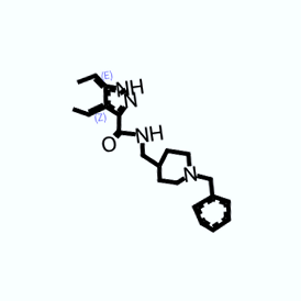 C/C=c1/c(C(=O)NCC2CCN(Cc3ccccc3)CC2)n[nH]/c1=C/C